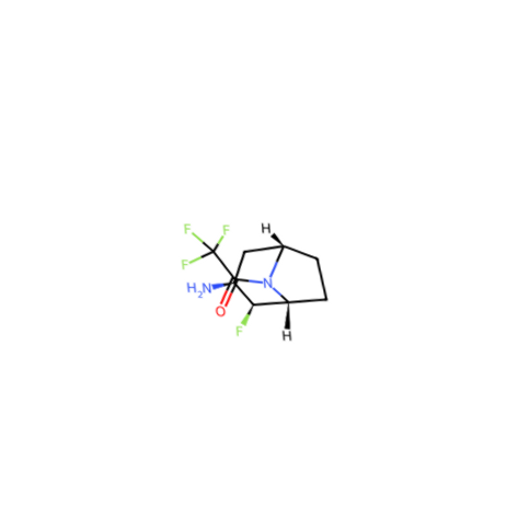 N[C@H]1C[C@@H]2CC[C@H]([C@H]1F)N2C(=O)C(F)(F)F